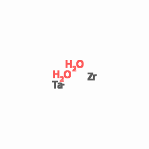 O.O.[Ta].[Zr]